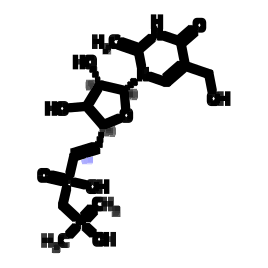 C=C1NC(=O)C(CO)=CN1[C@@H]1O[C@H](/C=C/P(=O)(O)CP(=C)(C)O)C(O)[C@@H]1O